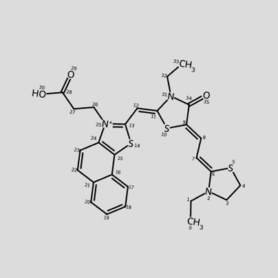 CCN1CCS/C1=C\C=c1/s/c(=C\c2sc3c4ccccc4ccc3[n+]2CCC(=O)O)n(CC)c1=O